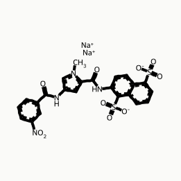 Cn1cc(NC(=O)c2cccc([N+](=O)[O-])c2)cc1C(=O)Nc1ccc2c(S(=O)(=O)[O-])cccc2c1S(=O)(=O)[O-].[Na+].[Na+]